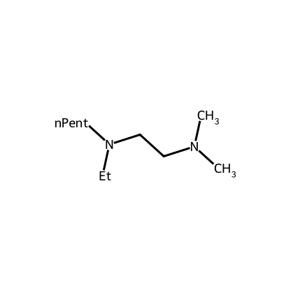 CCCCCN(CC)CCN(C)C